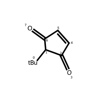 CC(C)(C)C1C(=O)C=CC1=O